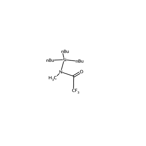 CCCC[Si](CCCC)(CCCC)N(C)C(=O)C(F)(F)F